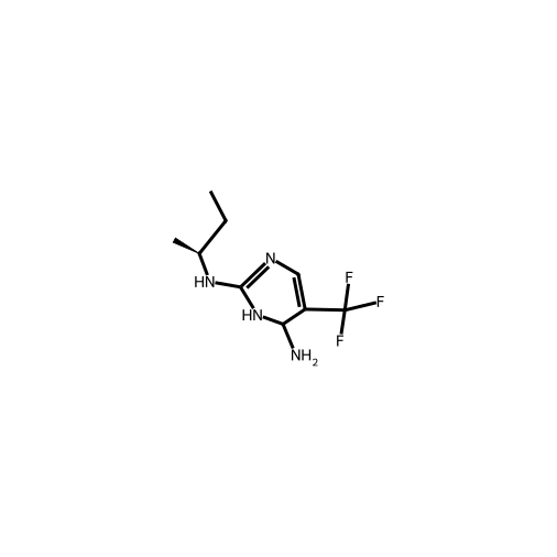 CC[C@H](C)NC1=NC=C(C(F)(F)F)C(N)N1